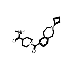 CNC(=O)C1CCN(C(=O)c2ccc3c(c2)CCN(C2=CC=C2)CC3)CC1